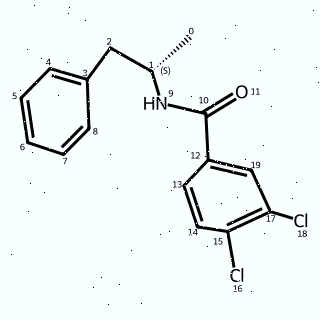 C[C@@H](Cc1ccccc1)NC(=O)c1ccc(Cl)c(Cl)c1